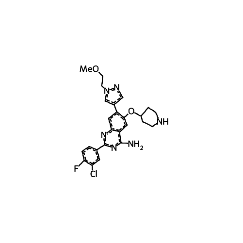 COCCn1cc(-c2cc3nc(-c4ccc(F)c(Cl)c4)nc(N)c3cc2OC2CCNCC2)cn1